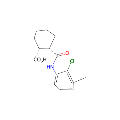 Cc1cccc(NC(=O)[C@H]2CCCC[C@H]2C(=O)O)c1Cl